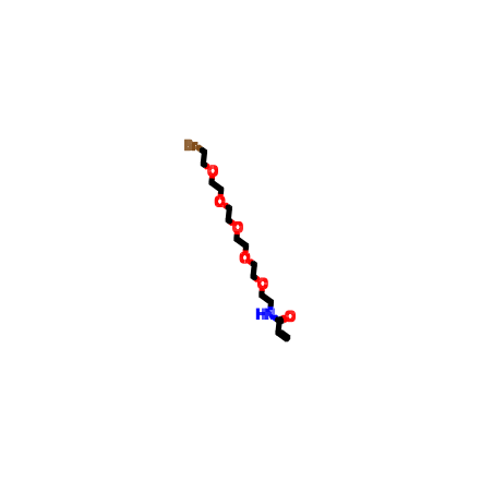 C=CC(=O)NCCOCCOCCOCCOCCOCCBr